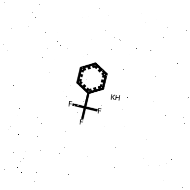 FC(F)(F)c1ccccc1.[KH]